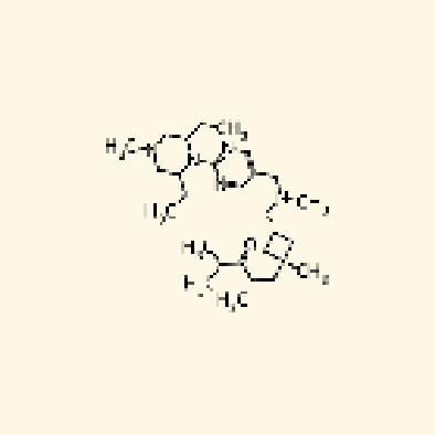 CCC1CN(C)CC(CC)N1c1ncc(CN(C)C[C@H]2C[C@@](C)(C[C@H](C)C(=O)C(C)C)C2)cn1